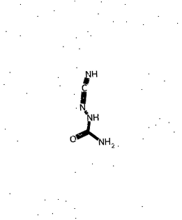 N=C=NNC(N)=O